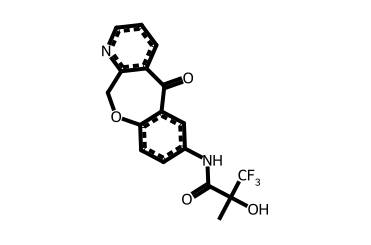 CC(O)(C(=O)Nc1ccc2c(c1)C(=O)c1cccnc1CO2)C(F)(F)F